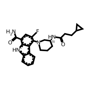 NC(=O)c1cc(F)c(N2CCC[C@H](NC(=O)CCC3CC3)C2)c2c1[nH]c1ccccc12